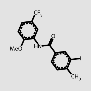 COc1ccc(C(F)(F)F)cc1NC(=O)c1ccc(C)c(I)c1